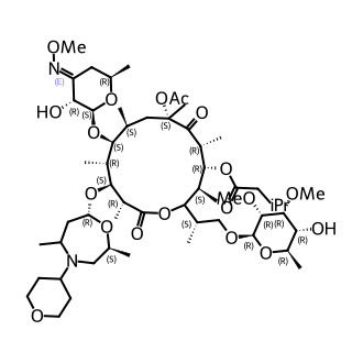 CO/N=C1\C[C@@H](C)O[C@@H](O[C@@H]2[C@@H](C)[C@H](O[C@H]3CC(C)N(C4CCOCC4)C[C@H](C)O3)[C@@H](C)C(=O)OC([C@@H](C)CO[C@@H]3O[C@H](C)[C@@H](O)[C@@H](OC)[C@H]3OC)[C@H](C)[C@@H](OC(=O)CC(C)C)[C@@H](C)C(=O)[C@@](C)(OC(C)=O)C[C@@H]2C)[C@@H]1O